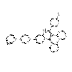 Fc1ccc(-c2nc3cc(-c4ccc(-c5cccnc5)cc4)ccc3c3c4ccccc4c4ccccc4c23)cc1